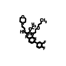 CCCOCCNc1nc(-c2ccc(F)c(F)c2)ccc1/N=C(\COC)NCCN1CCOCC1